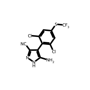 N#Cc1n[nH]c(N)c1-c1c(Cl)cc(SC(F)(F)F)cc1Cl